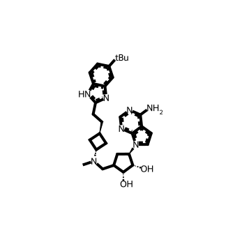 CN(CC1C[C@@H](n2ccc3c(N)ncnc32)[C@H](O)[C@@H]1O)[C@H]1C[C@H](CCc2nc3cc(C(C)(C)C)ccc3[nH]2)C1